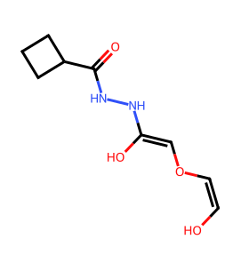 O=C(NN/C(O)=C/O/C=C\O)C1CCC1